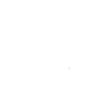 C=COC1=CCC1.F